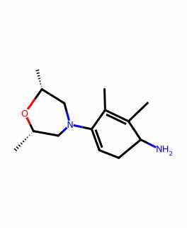 CC1=C(C)C(N)CC=C1N1C[C@@H](C)O[C@@H](C)C1